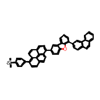 C[Si](C)(C)c1ccc(-c2ccc3ccc4c(-c5ccc6oc7c(-c8ccc9ccc%10ccccc%10c9c8)cccc7c6c5)ccc5ccc2c3c54)cc1